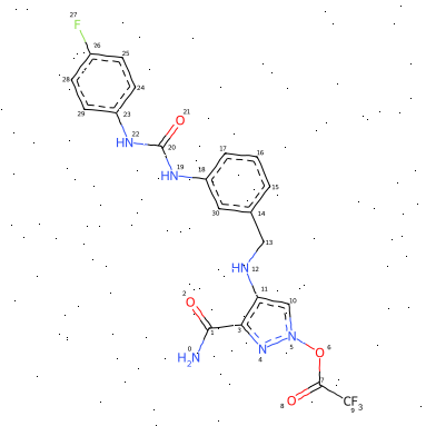 NC(=O)c1nn(OC(=O)C(F)(F)F)cc1NCc1cccc(NC(=O)Nc2ccc(F)cc2)c1